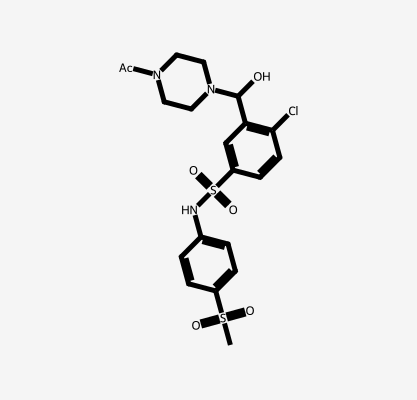 CC(=O)N1CCN(C(O)c2cc(S(=O)(=O)Nc3ccc(S(C)(=O)=O)cc3)ccc2Cl)CC1